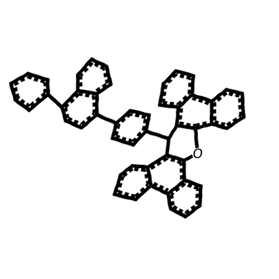 c1ccc(-c2ccc(-c3ccc(C4c5c(c6ccccc6c6ccccc56)Oc5c4c4ccccc4c4ccccc54)cc3)c3ccccc23)cc1